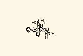 Cc1cc(Nc2cc(NC[C@@H](C)O)nc(N3CCC[C@H]3c3cc(-c4ccccn4)no3)n2)n[nH]1